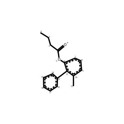 CCCC(=O)Oc1cccc(C)c1-c1ccccc1